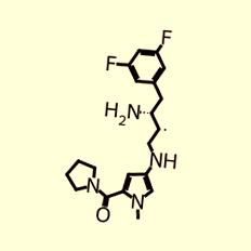 Cn1cc(NC[CH][C@H](N)Cc2cc(F)cc(F)c2)cc1C(=O)N1CCCC1